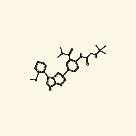 COc1ccccc1-c1c[nH]c2ncc(-c3ccc(NC(=O)CNC(C)(C)C)c(C(=O)N(C)C)c3)cc12